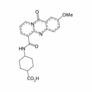 COc1ccc2nc3c(C(=O)NC4CCC(C(=O)O)CC4)cccn3c(=O)c2c1